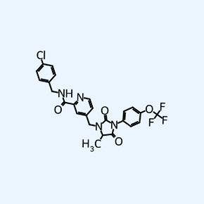 CC1C(=O)N(c2ccc(OC(F)(F)F)cc2)C(=O)N1Cc1ccnc(C(=O)NCc2ccc(Cl)cc2)c1